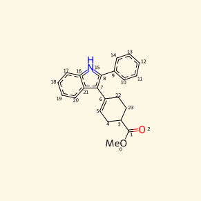 COC(=O)C1CC=C(c2c(-c3ccccc3)[nH]c3ccccc23)CC1